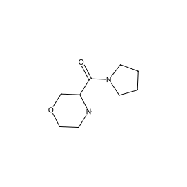 O=C(C1COCC[N]1)N1CCCC1